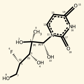 C[C@@](O)([C@H](O)[C@@H](F)CO)[C@@H](O)n1ccc(=O)[nH]c1=O